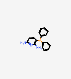 Nc1ccc(P(c2ccccc2)c2ccccc2)c(N)n1